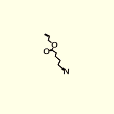 C=CCOC(=O)CCCCC#N